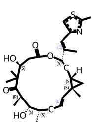 C/C(=C\c1csc(C)n1)[C@@H]1C[C@@H]2C[C@]2(C)/C=C/C[C@H](C)[C@H](O)[C@@H](C)C(=O)C(C)(C)[C@@H](O)CC(=O)O1